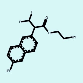 CC(C)CCOC(=O)C(c1ccc2cc(C(C)C)ccc2c1)C(F)F